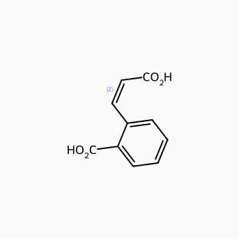 O=C(O)/C=C\c1ccccc1C(=O)O